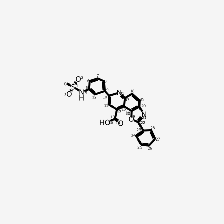 CS(=O)(=O)Nc1cccc(-c2cc(C(=O)O)c3c(ccc4nc(-c5ccccc5)oc43)n2)c1